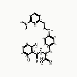 CN(C)c1cccc(CCOc2ccc(C[C@H](NC(=O)c3c(Cl)cccc3Cl)C(=O)O)cc2)n1